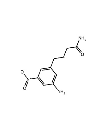 NC(=O)C[CH]Cc1cc(N)cc([N+](=O)[O-])c1